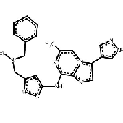 CCN(Cc1ccccc1)Cc1cc(Nc2nc(C)cn3c(-c4cn[nH]c4)cnc23)sn1